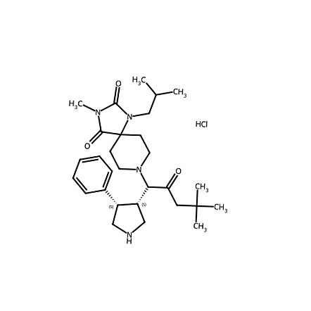 CC(C)CN1C(=O)N(C)C(=O)C12CCN(C(C(=O)CC(C)(C)C)[C@@H]1CNC[C@@H]1c1ccccc1)CC2.Cl